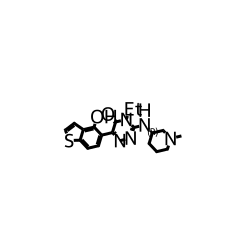 CCn1c(N[C@@H]2CCCN(C)C2)nnc(-c2ccc3sccc3c2O)c1=O